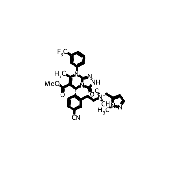 COC(=O)C1=C(C)N(c2cccc(C(F)(F)F)c2)c2n[nH]c(=O)n2[C@@H]1c1ccc(C#N)cc1CC[N+](C)(C)Cc1ccnn1C